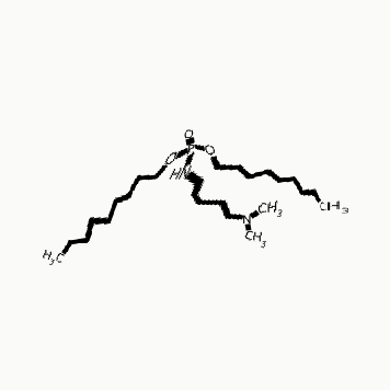 CCCCCCCCCOP(=O)(NCCCCN(C)C)OCCCCCCCCC